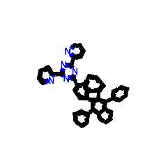 c1ccc(-c2c3c(c(-c4ccccc4)c4ccccc24)-c2ccc(-c4nc(-c5ccccn5)nc(-c5ccccn5)n4)c4cccc-3c24)cc1